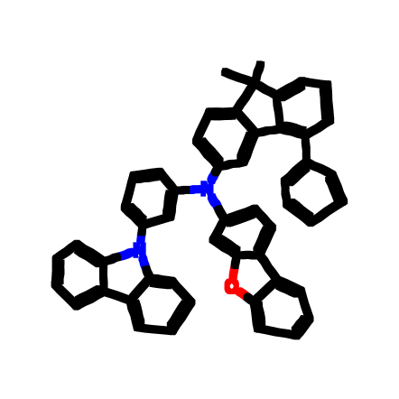 CC1(C)c2ccc(N(c3cccc(-n4c5ccccc5c5ccccc54)c3)c3ccc4c(c3)oc3ccccc34)cc2-c2c(-c3ccccc3)cccc21